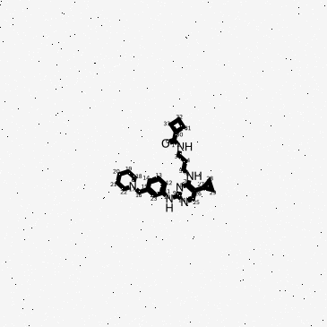 O=C(NCCCNc1nc(Nc2cccc(CN3CCCCC3)c2)ncc1C1CC1)C1CCC1